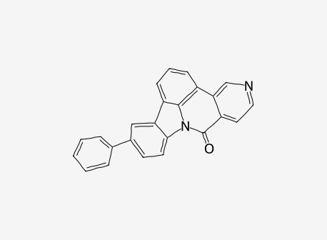 O=c1c2ccncc2c2cccc3c4cc(-c5ccccc5)ccc4n1c23